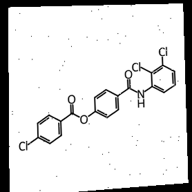 O=C(Nc1cccc(Cl)c1Cl)c1ccc(OC(=O)c2ccc(Cl)cc2)cc1